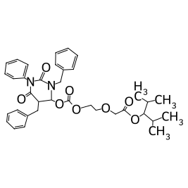 CC(C)C(OC(=O)COCCOC(=O)OC1C(Cc2ccccc2)C(=O)N(c2ccccc2)C(=O)N1Cc1ccccc1)C(C)C